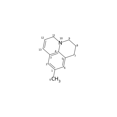 Cc1cc2c3c(c1)CCCN3CC=C2